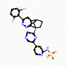 CC12CC13CC[C@]2(c1cncc(-c2ccnc(NS(C)(=O)=O)c2)n1)c1nnc(-c2c(F)cccc2F)cc13